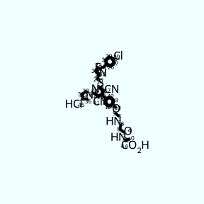 C[C@H](NC(=O)CCNCCOc1ccc(-c2c(C#N)c(SCc3csc(-c4ccc(Cl)cc4)n3)nc(N3CCCC3)c2C#N)cc1)C(=O)O.Cl